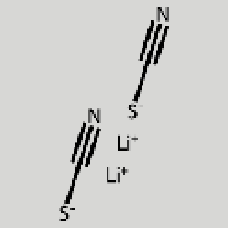 N#C[S-].N#C[S-].[Li+].[Li+]